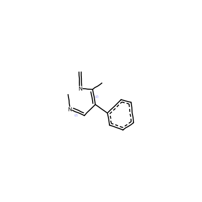 C=N/C(C)=C(\C=N/C)c1ccccc1